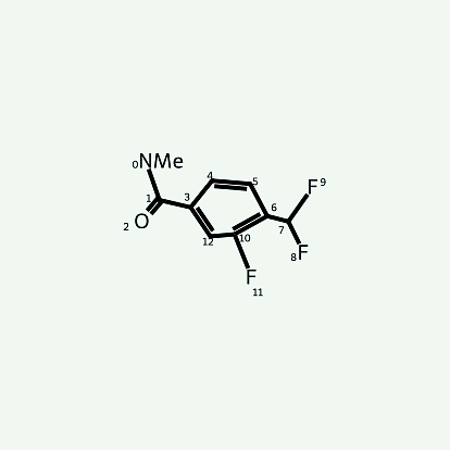 CNC(=O)c1ccc(C(F)F)c(F)c1